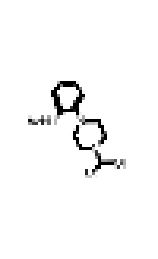 CCC(O)N1CCN(c2ccccc2NC(C)=O)CC1